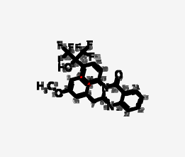 COc1cccc(Cc2nc3ccccc3c(=O)n2-c2ccc(C(O)(C(F)(F)F)C(F)(F)F)cc2)c1